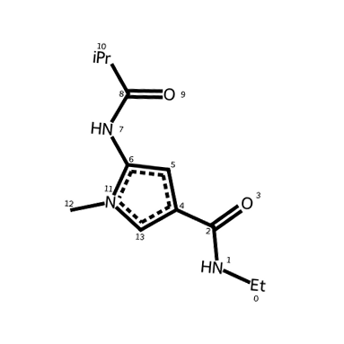 CCNC(=O)c1cc(NC(=O)C(C)C)n(C)c1